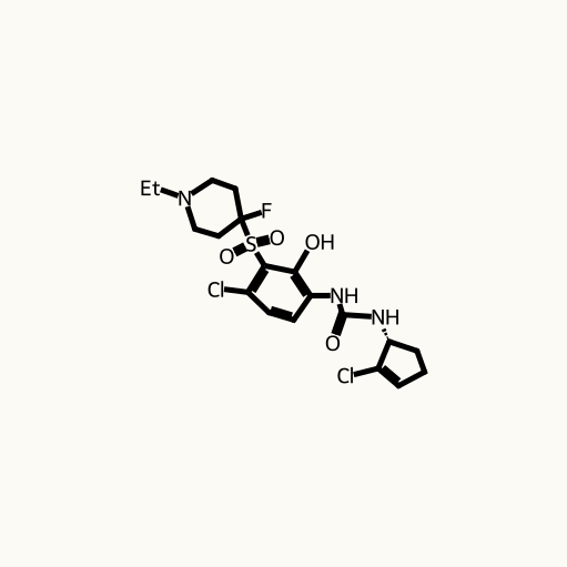 CCN1CCC(F)(S(=O)(=O)c2c(Cl)ccc(NC(=O)N[C@@H]3CCC=C3Cl)c2O)CC1